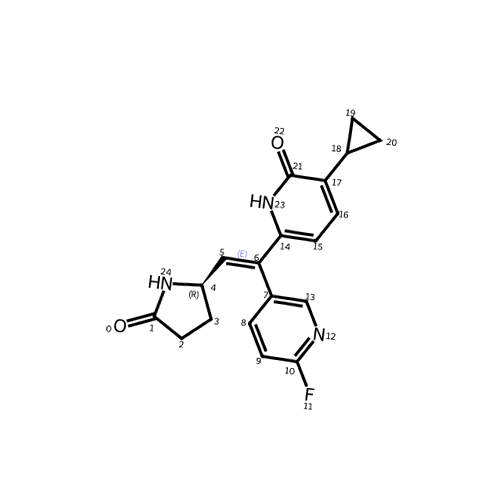 O=C1CC[C@H](/C=C(\c2ccc(F)nc2)c2ccc(C3CC3)c(=O)[nH]2)N1